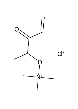 C=CC(=O)C(C)O[N+](C)(C)C.[Cl-]